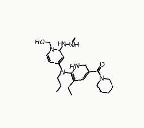 CCCN(C1=CC(NNC)N(CO)C=C1)C1=C(CC)C=C(C(=O)N2CCCCC2)CN1